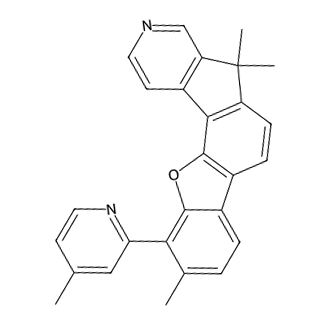 Cc1ccnc(-c2c(C)ccc3c2oc2c4c(ccc23)C(C)(C)c2cnccc2-4)c1